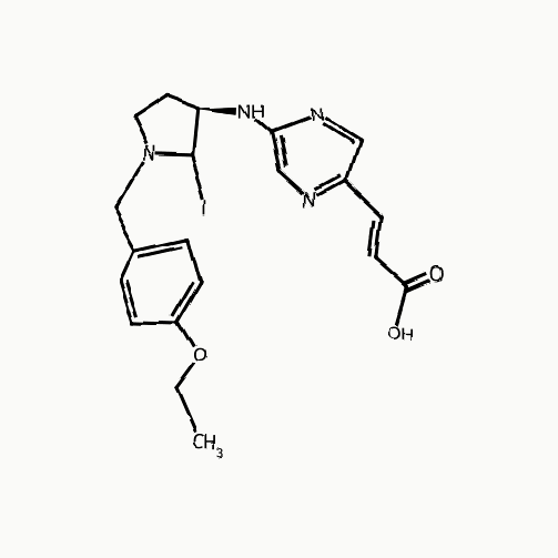 CCOc1ccc(CN2CC[C@@H](Nc3cnc(C=CC(=O)O)cn3)C2I)cc1